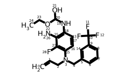 C=CCN(Cc1cccc(C(F)(F)F)c1)c1ccc(NC(O)OCC)c(N)c1F